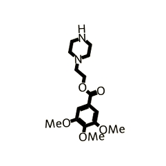 COc1cc(C(=O)OCCN2CCNCC2)cc(OC)c1OC